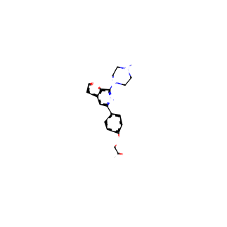 CCN1CCN(c2nc(-c3ccc(OC[C@H](C)O)cc3)cc3ccoc23)CC1